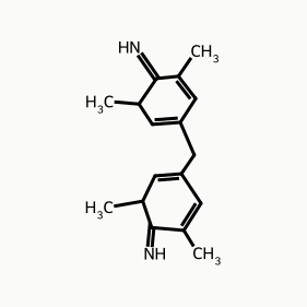 CC1=CC(CC2=CC(C)C(=N)C(C)=C2)=CC(C)C1=N